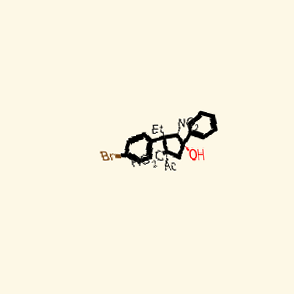 CC[C@]1(c2ccc(Br)cc2)[C@H]([N+](=O)[O-])[C@@](O)(c2ccccc2)C[C@@]1(C(C)=O)C(=O)O